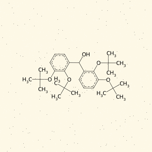 CC(C)(C)Oc1cccc(C(O)c2cccc(OC(C)(C)C)c2OC(C)(C)C)c1OC(C)(C)C